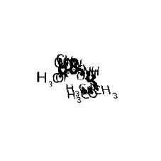 COc1cc(OC)c(F)c(-c2ccc(OC(=O)Nc3ccc(CN(C)CC(=O)N(C)C)cn3)c3nccnc23)c1F